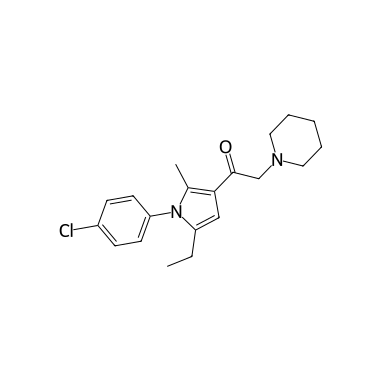 CCc1cc(C(=O)CN2CCCCC2)c(C)n1-c1ccc(Cl)cc1